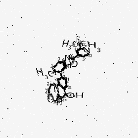 Cc1ccc(NC(=O)c2ccnc(C(C)(C)F)c2)cc1-c1ccc2c(c1)N1CCOC[C@@H]1C[C@@H]2O